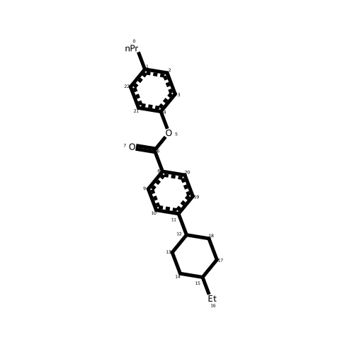 CCCc1ccc(OC(=O)c2ccc(C3CCC(CC)CC3)cc2)cc1